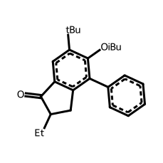 CCC1Cc2c(cc(C(C)(C)C)c(OCC(C)C)c2-c2ccccc2)C1=O